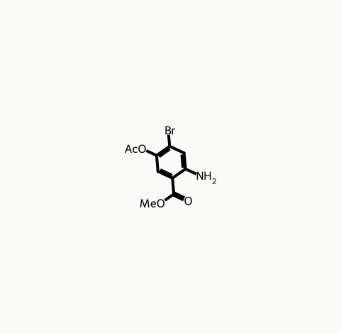 COC(=O)c1cc(OC(C)=O)c(Br)cc1N